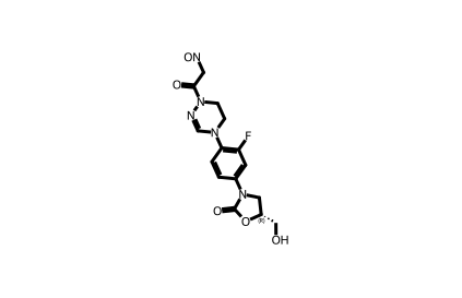 O=NCC(=O)N1CCN(c2ccc(N3C[C@H](CO)OC3=O)cc2F)C=N1